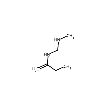 C=C(CC)NCNC